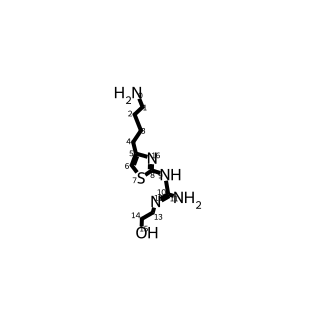 NCCCCc1csc(NC(N)=NCCO)n1